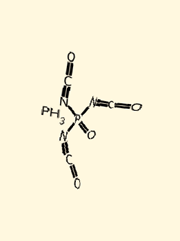 O=C=NP(=O)(N=C=O)N=C=O.P